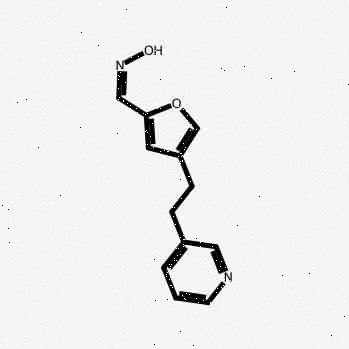 O/N=C\c1cc(CCc2cccnc2)co1